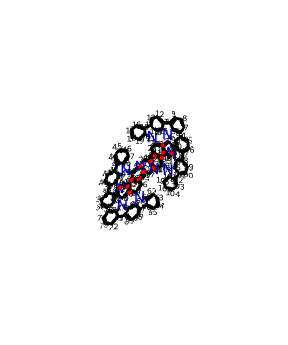 c1ccc(-n2c3ccccc3c3ccc4c5ccccc5n(-c5cc(-c6cnc(-c7cc(-n8c9ccccc9c9ccc%10c%11ccccc%11n(-c%11ccccc%11)c%10c98)cc(-n8c9ccccc9c9ccc%10c%11ccccc%11n(-c%11ccccc%11)c%10c98)c7)cn6)cc(-n6c7ccccc7c7ccc8c9ccccc9n(-c9ccccc9)c8c76)c5)c4c32)cc1